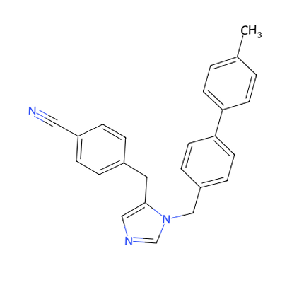 Cc1ccc(-c2ccc(Cn3cncc3Cc3ccc(C#N)cc3)cc2)cc1